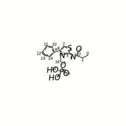 CCC(=O)/N=c1\scc(-c2ccccc2)n1COP(=O)(O)O